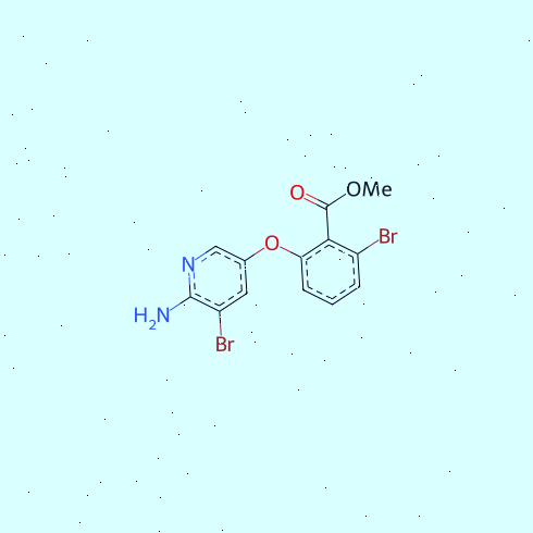 COC(=O)c1c(Br)cccc1Oc1cnc(N)c(Br)c1